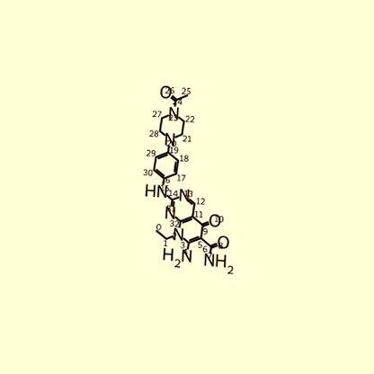 CCn1c(N)c(C(N)=O)c(=O)c2cnc(Nc3ccc(N4CCN(C(C)=O)CC4)cc3)nc21